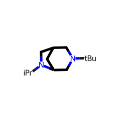 CC(C)N1CC2CC1CN(C(C)(C)C)C2